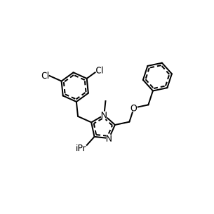 CC(C)c1nc(COCc2ccccc2)n(C)c1Cc1cc(Cl)cc(Cl)c1